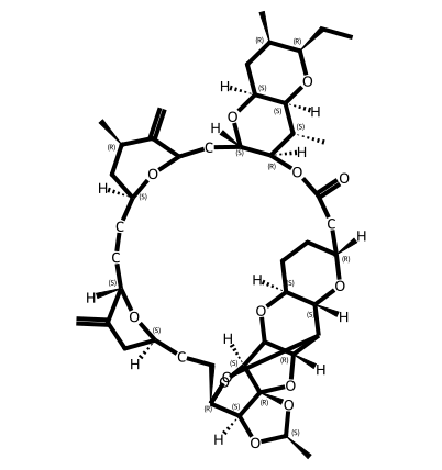 C=C1C2C[C@@H]3O[C@H]4C[C@@H](C)[C@@H](CC)O[C@H]4[C@H](C)[C@H]3OC(=O)C[C@H]3CC[C@@H]4OC5[C@H]6O[C@]78O[C@@H](C)O[C@H]7[C@](CC[C@H]7CC(=C)[C@H](CC[C@@H](C[C@H]1C)O2)O7)(OC6[C@H]4O3)O[C@@H]58